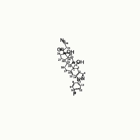 CC12Cc3cnn(-c4ccc(F)cc4)c3C=C1CCC1C2[C@@H](O)CC2(C)C1CC[C@]2(O)C(=O)CC#N